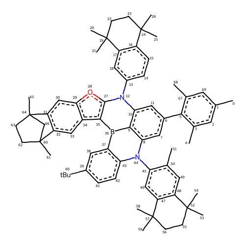 Cc1cc(C)c(-c2cc3c4c(c2)N(c2ccc5c(c2)C(C)(C)CCC5(C)C)c2oc5cc6c(cc5c2B4c2cc(C(C)(C)C)ccc2N3c2cc3c(cc2C)C(C)(C)CCC3(C)C)C2(C)CCC6(C)C2)c(C)c1